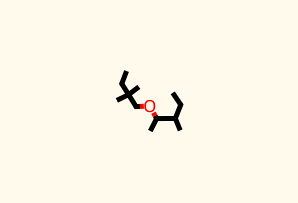 CCC(C)C(C)OCC(C)(C)CC